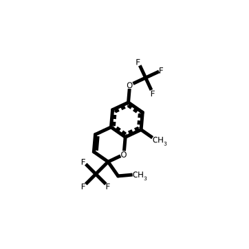 CCC1(C(F)(F)F)C=Cc2cc(OC(F)(F)F)cc(C)c2O1